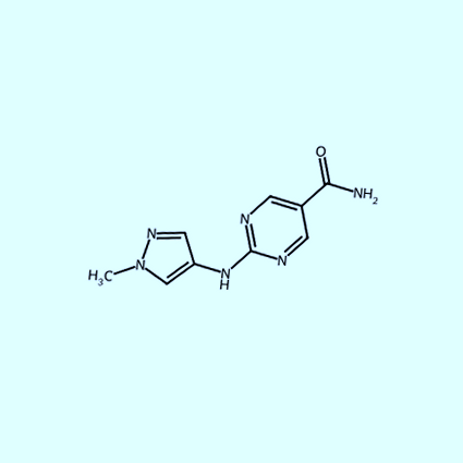 Cn1cc(Nc2ncc(C(N)=O)cn2)cn1